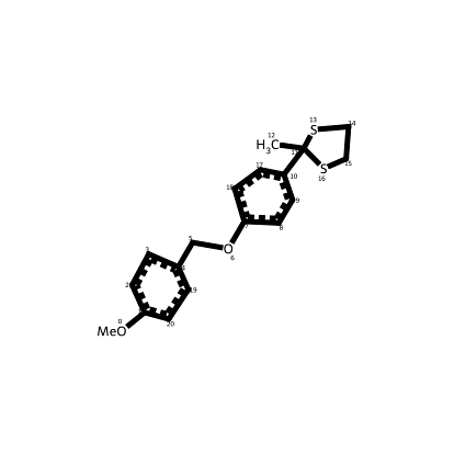 COc1ccc(COc2ccc(C3(C)SCCS3)cc2)cc1